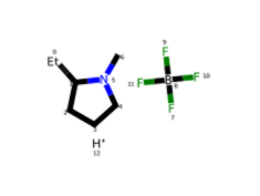 CCC1CCCN1C.F[B-](F)(F)F.[H+]